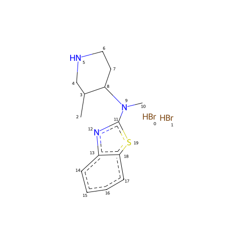 Br.Br.CC1CNCCC1N(C)c1nc2ccccc2s1